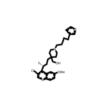 COc1ccc2ncc(Cl)c([C@H](F)CCC3(CO)CCN(CCCCc4ccsc4)CC3)c2c1